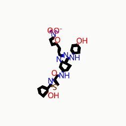 O=C(Nc1ccc2c(Nc3ccc(O)cc3)nc(/C=C/c3ccc([N+](=O)[O-])o3)nc2c1)c1csc(-c2ccccc2O)n1